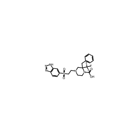 O=C(O)N1CCN(CCS(=O)(=O)c2ccc3nn[nH]c3c2)CC1(Cc1ccccc1)C(F)(F)F